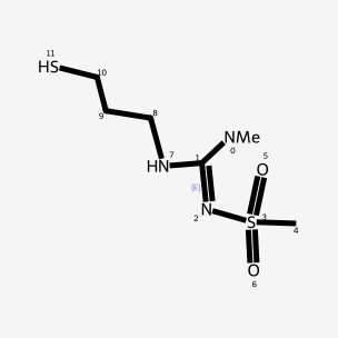 CN/C(=N\S(C)(=O)=O)NCCCS